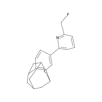 FCc1cccc(-c2ccc3c(c2)C2CC4CC(CC3C4)C2)n1